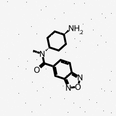 CN(C(=O)c1ccc2nonc2c1)[C@H]1CC[C@H](N)CC1